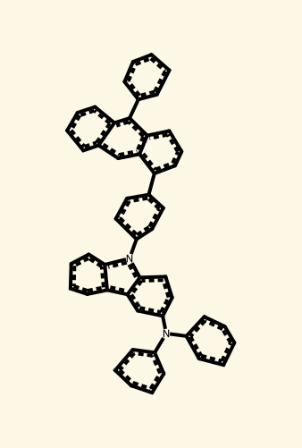 c1ccc(-c2c3ccccc3cc3c(-c4ccc(-n5c6ccccc6c6cc(N(c7ccccc7)c7ccccc7)ccc65)cc4)cccc23)cc1